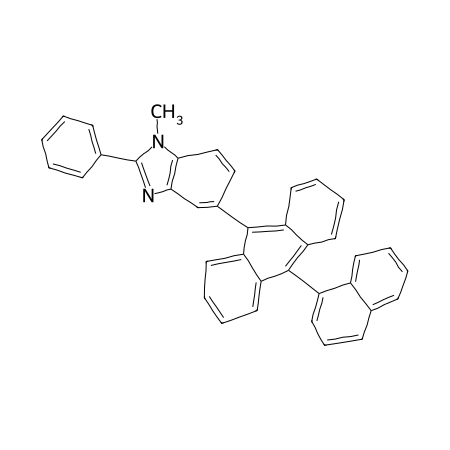 Cn1c(-c2ccccc2)nc2cc(-c3c4ccccc4c(-c4cccc5ccccc45)c4ccccc34)ccc21